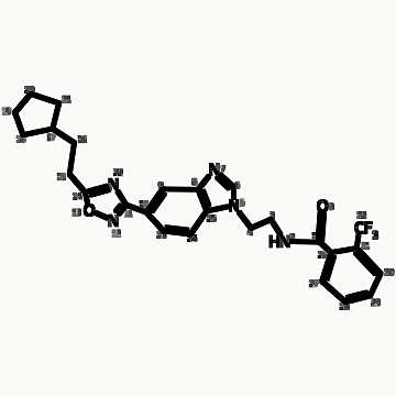 O=C(NCCn1cnc2cc(-c3noc(CCC4CCCC4)n3)ccc21)c1ccccc1C(F)(F)F